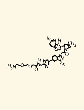 CC(=O)c1nn(CC(=O)N2C3C[C@]3(C)C[C@H]2C(=O)Nc2nc(Br)ccc2C)c2ccc(-c3cnc(CNC(=O)COCCOCCN)nc3)cc12